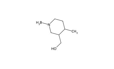 BN1CCC(C)C(CO)C1